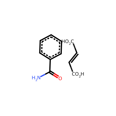 NC(=O)c1ccccc1.O=C(O)C=CC(=O)O